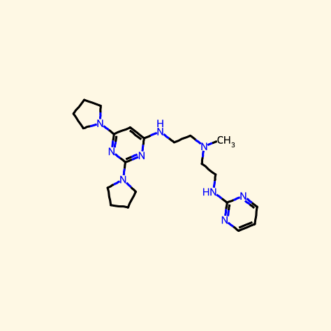 CN(CCNc1cc(N2CCCC2)nc(N2CCCC2)n1)CCNc1ncccn1